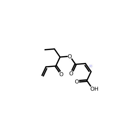 C=CC(=O)C(CC)OC(=O)/C=C\C(=O)O